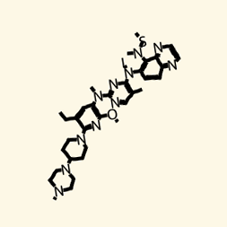 CCc1cc(N(C)c2ncc(C)c(N(I)c3ccc4nccnc4c3N(C)SC)n2)c(OC)nc1N1CCC(N2CCN(C)CC2)CC1